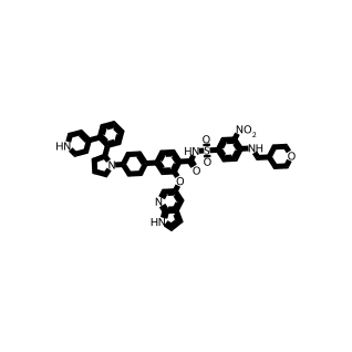 O=C(NS(=O)(=O)c1ccc(NCC2CCOCC2)c([N+](=O)[O-])c1)c1ccc(C2=CCC(N3CCCC3c3ccccc3C3=CCNCC3)CC2)cc1Oc1cnc2[nH]ccc2c1